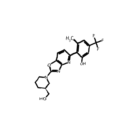 Cc1cc(C(F)(F)F)cc(O)c1-c1ccc2oc(N3CCC[C@H](CO)C3)nc2n1